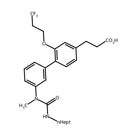 CCCCCCCNC(=O)N(C)c1cccc(-c2ccc(CCC(=O)O)cc2OCCC(F)(F)F)c1